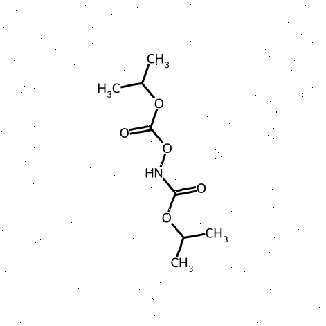 CC(C)OC(=O)NOC(=O)OC(C)C